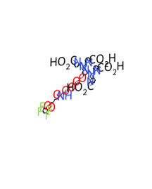 O=C(CCCCC(=O)Oc1c(F)c(F)cc(F)c1F)NCCOCCOCCOCCOc1cc(CN(Cc2cccc(C(=O)O)n2)Cc2cccc(C(=O)O)n2)nc(CN(Cc2cccc(C(=O)O)n2)Cc2cccc(C(=O)O)n2)c1